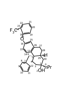 CCC[C@@]1(O)CC[C@@]2(Cc3ccccc3)c3ccc(Oc4ccccc4C(F)(F)F)cc3CC[C@@H]2C1